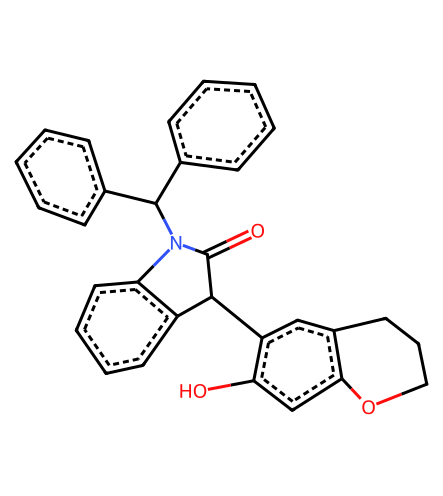 O=C1C(c2cc3c(cc2O)OCCC3)c2ccccc2N1C(c1ccccc1)c1ccccc1